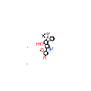 COc1ccc(-c2cc3c(O)cc4c(c3cc2N(F)F)-c2ccccc2C42CC(C)(C)CC(C)(C)C2)c(OC)c1